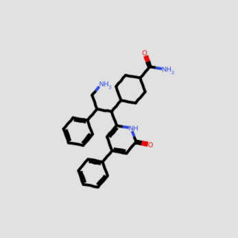 NCC(c1ccccc1)C(c1cc(-c2ccccc2)cc(=O)[nH]1)C1CCC(C(N)=O)CC1